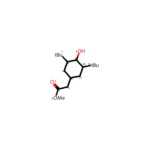 COC(=O)CC1CC(C(C)(C)C)C(O)C(C(C)(C)C)C1